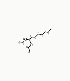 CCCCCCC[C](OCC)OCC